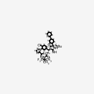 CC(C)(C)C[C@]1(c2ccc(-c3ccccn3)cc2)NC(=N)N([C@H](COC(=O)NC(C)(C)C(F)(F)F)c2ccc(Cl)c(-n3ncnc3C(F)F)c2)C1=O